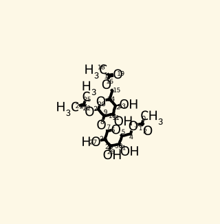 CC(=O)OCC1O[C@@H](OC2C(O)[C@H](O)C(COC(C)=O)O[C@H]2OC(C)C)C(O)C(O)[C@@H]1O